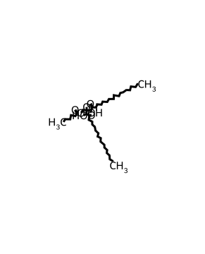 CCCCCCCCCCCCCCCCCC(=O)C(O)C(O)(COC(=O)CCCCC)C(O)C(=O)CCCCCCCCCCCCCCCCC